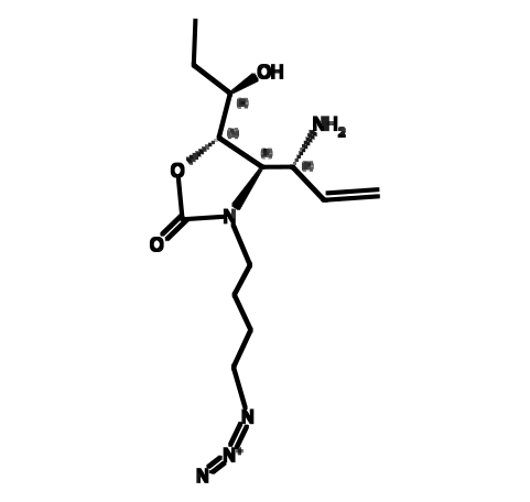 C=C[C@@H](N)[C@@H]1[C@@H]([C@H](O)CC)OC(=O)N1CCCCN=[N+]=[N-]